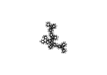 c1ccc(-c2ccccc2-c2ccc3c(-n4c5ccccc5c5cc(-c6ccc7c(c6)c6ccccc6n7-c6ccccc6)ccc54)nc(-n4c5ccccc5c5cc(-c6ccc7c(c6)c6ccccc6n7-c6ccccc6)ccc54)cc3c2)cc1